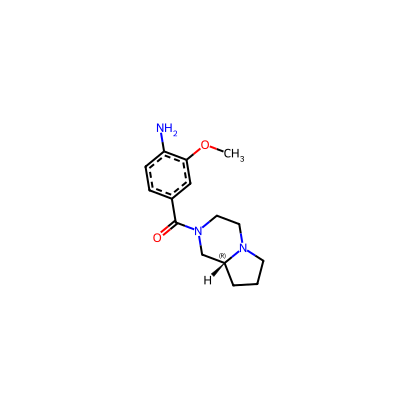 COc1cc(C(=O)N2CCN3CCC[C@@H]3C2)ccc1N